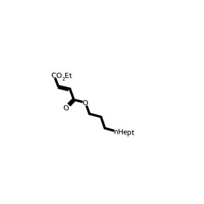 CCCCCCCCCCOC(=O)C=CC(=O)OCC